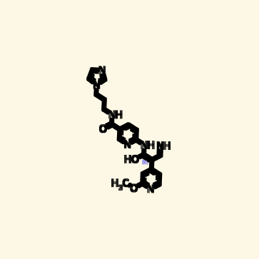 COc1cc(/C(C=N)=C(\O)Nc2ccc(C(=O)NCCCn3ccnc3)cn2)ccn1